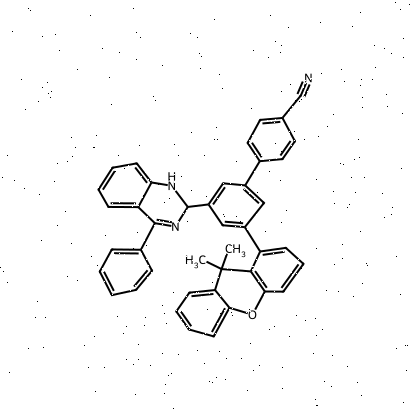 CC1(C)c2ccccc2Oc2cccc(-c3cc(-c4ccc(C#N)cc4)cc(C4N=C(c5ccccc5)c5ccccc5N4)c3)c21